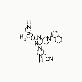 C[C@@]1(COc2nc3c(c(N4CCNC(CC#N)C4)n2)CCN(c2cccc4ccccc24)C3)CCNC1